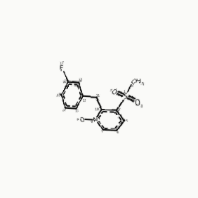 CS(=O)(=O)c1ccc[n+]([O-])c1Cc1cccc(F)c1